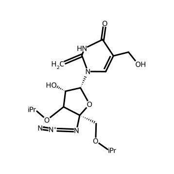 C=C1NC(=O)C(CO)=CN1[C@@H]1O[C@@](COC(C)C)(N=[N+]=[N-])C(OC(C)C)[C@@H]1O